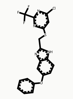 FC(F)(F)c1nc(Cl)cc(SCc2nc3cc(Oc4ccccc4)ccc3[nH]2)n1